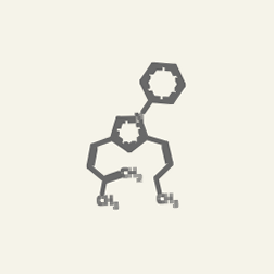 C=C(C)/C=C\c1cc(/C=C\CC)n(-c2ccccc2)c1